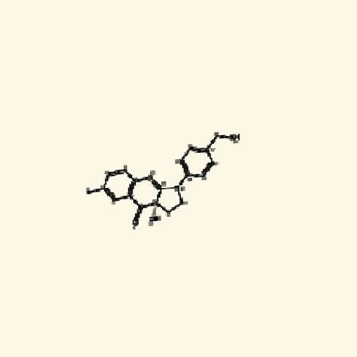 Cc1ccc2c(c1)C(=O)[C@]1(O)CCN(c3ccc(CS)cc3)C1=N2